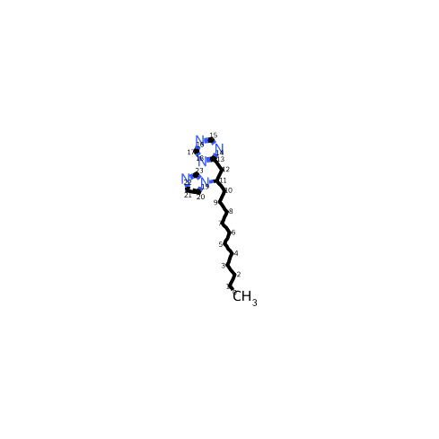 CCCCCCCCCCCC(Cc1ncncn1)n1ccnc1